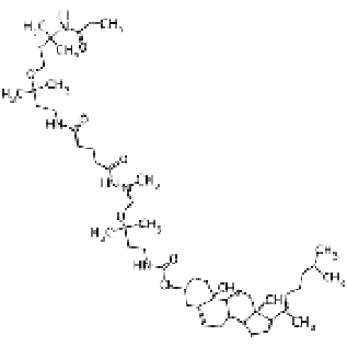 CCC(=O)NC(C)(C)CCOC(C)(C)CCNC(=O)CCCC(=O)NN(C)COC(C)(C)CCNC(=O)O[C@H]1CC[C@@]2(C)C(=CCC3C4CCC([C@H](C)CCCC(C)C)[C@@]4(C)CCC32)C1